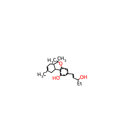 CCC(O)C=Cc1cc(O)c2c(c1)OC(C)(C)C1CC=C(C)CC21